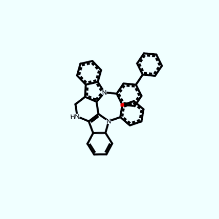 C1=CC2C3=C(c4c(c5ccccc5n4-c4cccc(-c5ccccc5)c4)CN3)N(c3ccccc3)C2C=C1